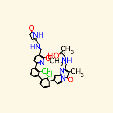 COc1nc(-c2cccc(-c3cccc(-c4ccn5c(=O)c(C)c(CNC[C@H](C)O)nc5c4)c3Cl)c2Cl)ccc1CNC[C@H]1CCC(=O)N1